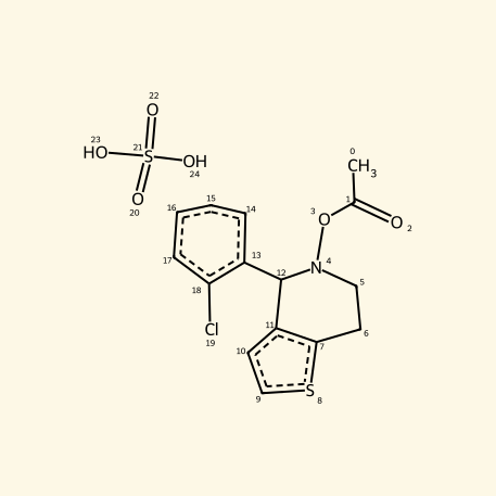 CC(=O)ON1CCc2sccc2C1c1ccccc1Cl.O=S(=O)(O)O